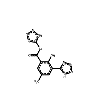 Cc1cc(C(=O)Nc2nnn[nH]2)c(O)c(-c2nnn[nH]2)c1